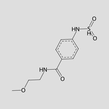 COCCNC(=O)c1ccc(N[SH](=O)=O)cc1